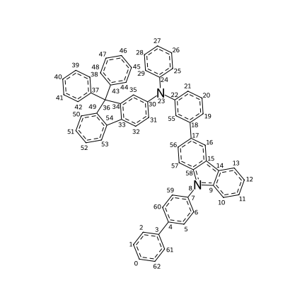 c1ccc(-c2ccc(-n3c4ccccc4c4cc(-c5cccc(N(c6ccccc6)c6ccc7c(c6)C(c6ccccc6)(c6ccccc6)c6ccccc6-7)c5)ccc43)cc2)cc1